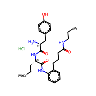 CSCC[C@H](NC(=O)[C@@H](N)Cc1ccc(O)cc1)C(=O)Nc1ccccc1CCCC(=O)NCCC(C)C.Cl